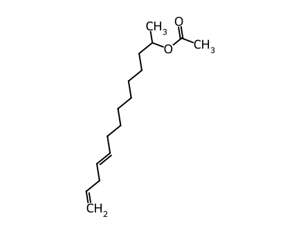 C=CCC=CCCCCCCCC(C)OC(C)=O